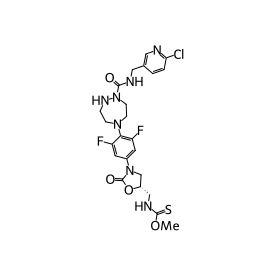 COC(=S)NC[C@H]1CN(c2cc(F)c(N3CCNN(C(=O)NCc4ccc(Cl)nc4)CC3)c(F)c2)C(=O)O1